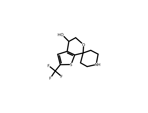 OC1COC2(CCNCC2)c2sc(C(F)(F)F)cc21